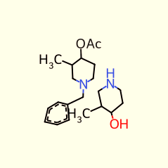 CC(=O)OC1CCN(Cc2ccccc2)CC1C.CC1CNCCC1O